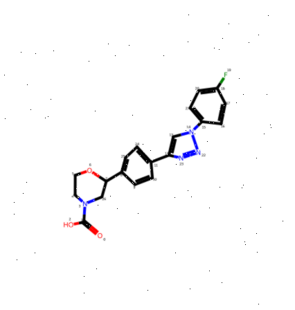 O=C(O)N1CCOC(c2ccc(-c3cn(-c4ccc(F)cc4)nn3)cc2)C1